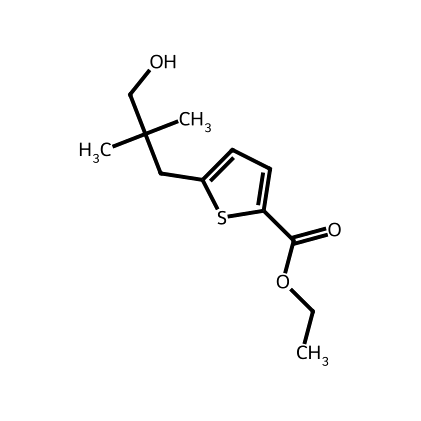 CCOC(=O)c1ccc(CC(C)(C)CO)s1